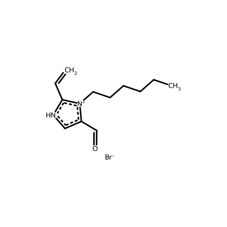 C=Cc1[nH]cc(C=O)[n+]1CCCCCC.[Br-]